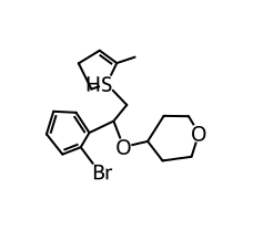 CC1=CCC[SH]1CC(OC1CCOCC1)c1ccccc1Br